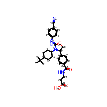 CC(C)(C)C1CCC(N2/C(=N/c3ccc(C#N)cc3)OCC2c2ccc(C(=O)NCCC(=O)O)cc2)CC1